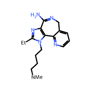 CCc1nc2c(n1CCCCNC)-c1ncccc1CN=C2N